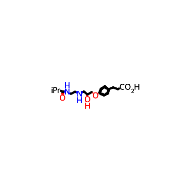 CC(C)C(=O)NCCNCC(O)COc1ccc(CCC(=O)O)cc1